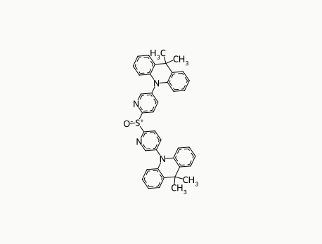 CC1(C)c2ccccc2N(c2ccc([S+]([O-])c3ccc(N4c5ccccc5C(C)(C)c5ccccc54)cn3)nc2)c2ccccc21